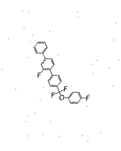 Fc1ccc(OC(F)(F)c2ccc(-c3ccc(-c4ccccc4)cc3F)cc2)cc1